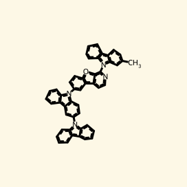 Cc1ccc2c3ccccc3n(-c3nccc4c3oc3ccc(-n5c6ccccc6c6cc(-n7c8ccccc8c8ccccc87)ccc65)cc34)c2c1